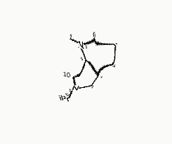 CC(C)N1CC2CCCN(C)C2C1